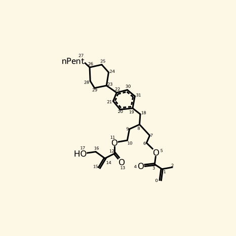 C=C(C)C(=O)OCCC(CCOC(=O)C(=C)CO)Cc1ccc(C2CCC(CCCCC)CC2)cc1